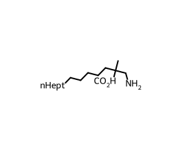 CCCCCCCCCCCCC(C)(CN)C(=O)O